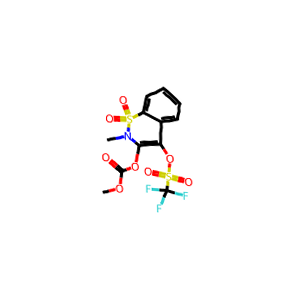 COC(=O)OC1=C(OS(=O)(=O)C(F)(F)F)c2ccccc2S(=O)(=O)N1C